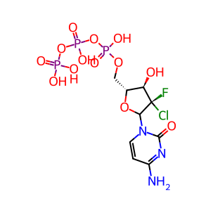 Nc1ccn(C2O[C@H](COP(=O)(O)OP(=O)(O)OP(=O)(O)O)[C@@H](O)[C@]2(F)Cl)c(=O)n1